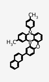 Cc1ccc(N2c3ccc(C)cc3B3c4cc(-c5ccc6ccccc6c5)ccc4Oc4cccc2c43)cc1